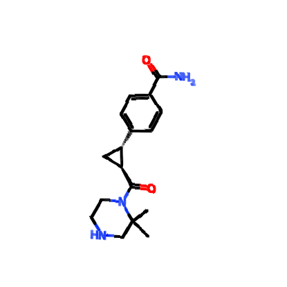 CC1(C)CNCCN1C(=O)[C@H]1C[C@@H]1c1ccc(C(N)=O)cc1